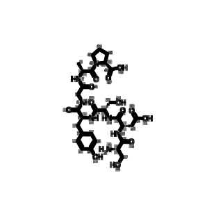 C[C@H](NC(=O)CNC(=O)[C@H](Cc1ccc(O)cc1)NC(=O)[C@H](CO)NC(=O)[C@H](CC(=O)O)NC(=O)[C@@H](N)CO)C(=O)N1CCC[C@H]1C(=O)O